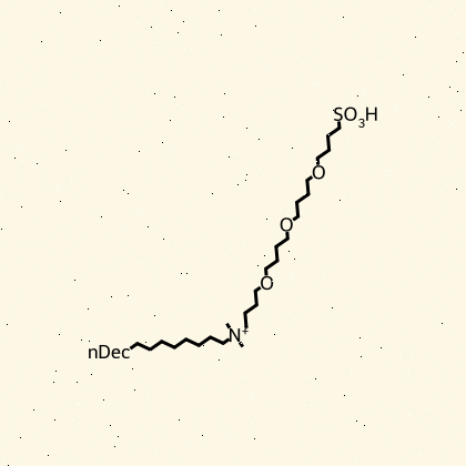 CCCCCCCCCCCCCCCCCC[N+](C)(C)CCCCOCCCCOCCCCOCCCCS(=O)(=O)O